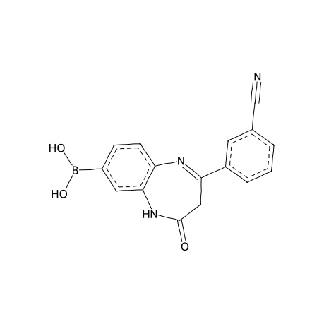 N#Cc1cccc(C2=Nc3ccc(B(O)O)cc3NC(=O)C2)c1